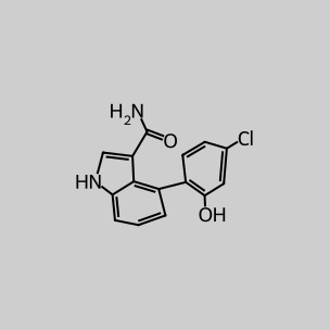 NC(=O)c1c[nH]c2cccc(-c3ccc(Cl)cc3O)c12